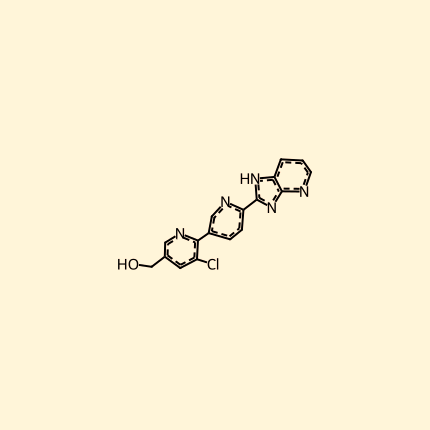 OCc1cnc(-c2ccc(-c3nc4ncccc4[nH]3)nc2)c(Cl)c1